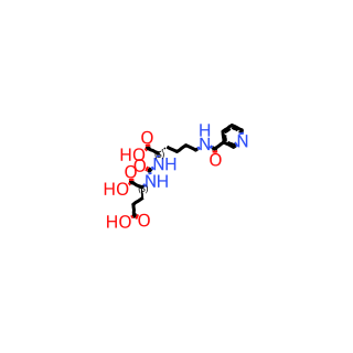 O=C(O)CC[C@H](NC(=O)N[C@@H](CCCCNC(=O)c1cccnc1)C(=O)O)C(=O)O